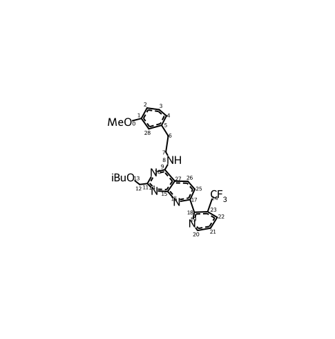 COc1cccc(CCNc2nc(COCC(C)C)nc3nc(-c4ncccc4C(F)(F)F)ccc23)c1